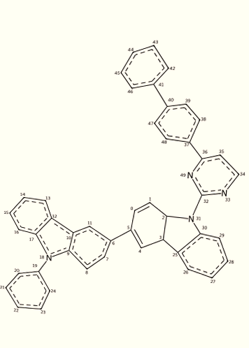 C1=CC2C(C=C1c1ccc3c(c1)c1ccccc1n3-c1ccccc1)c1ccccc1N2c1nccc(-c2ccc(-c3ccccc3)cc2)n1